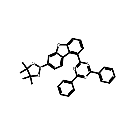 CC1(C)OB(c2ccc3c(c2)oc2cccc(-c4nc(-c5ccccc5)nc(-c5ccccc5)n4)c23)OC1(C)C